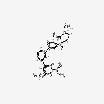 CN1CC[C@@](O)(c2cc(-c3cccc(-c4cc(N)cc(C(N)=O)n4)c3)no2)C1=O